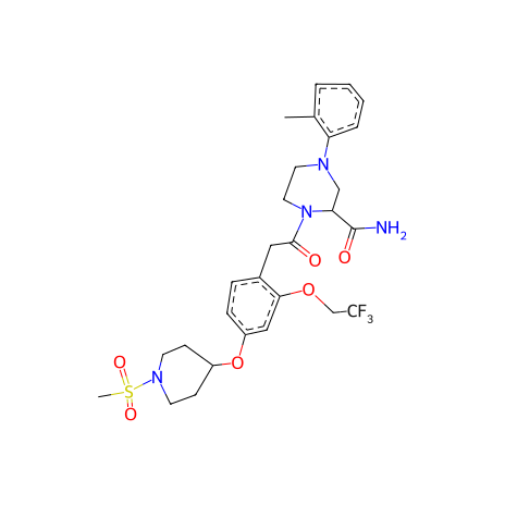 Cc1ccccc1N1CCN(C(=O)Cc2ccc(OC3CCN(S(C)(=O)=O)CC3)cc2OCC(F)(F)F)C(C(N)=O)C1